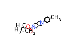 Cc1ccc(N2CC3CN(C(=O)OC(C)(C)C)CC3C2)cc1